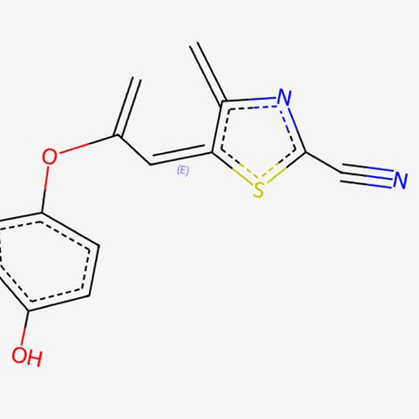 C=C(/C=c1/sc(C#N)nc1=C)Oc1ccc(O)cc1